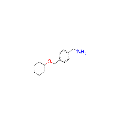 NCc1ccc(COC2CCCCC2)cc1